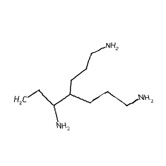 CCC(N)C(CCCN)CCCN